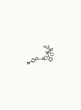 CCC(=O)O[C@H]1CCC[C@@H]1C(C#N)(c1ccccc1)C1CCN(CCCOc2ccc(C#N)cc2)CC1